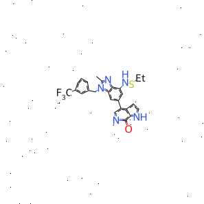 CCSNc1cc(-c2cn(C)c(=O)c3[nH]ccc23)cc2c1nc(C)n2Cc1cccc(C(F)(F)F)c1